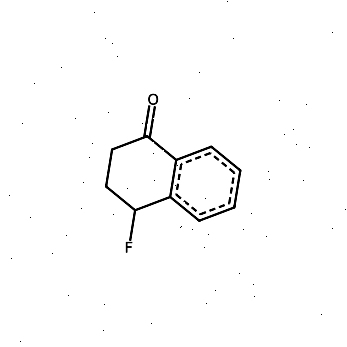 O=C1CCC(F)c2ccccc21